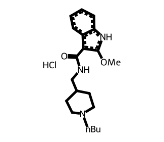 CCCCN1CCC(CNC(=O)c2c(OC)[nH]c3ccccc23)CC1.Cl